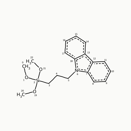 CO[Si](CCCn1c2ccccc2c2ccccc21)(OC)OC